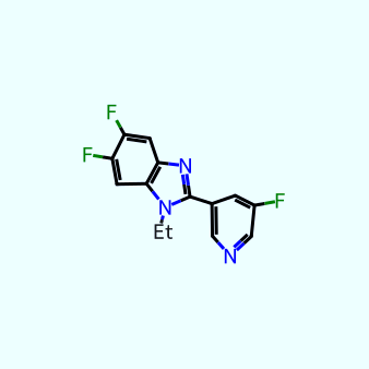 CCn1c(-c2cncc(F)c2)nc2cc(F)c(F)cc21